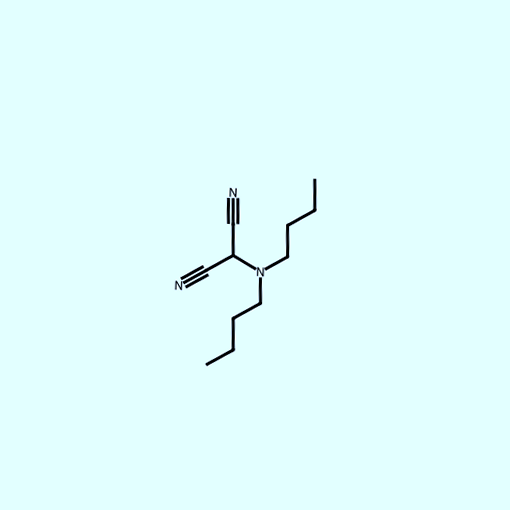 CCCCN(CCCC)C(C#N)C#N